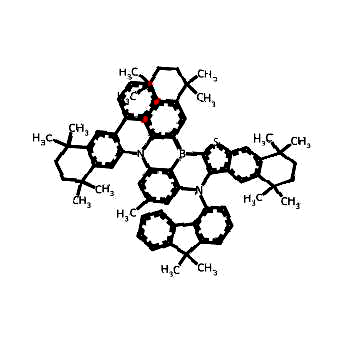 Cc1cc2c3c(c1)N(c1cccc4c1-c1ccccc1C4(C)C)c1c(sc4cc5c(cc14)C(C)(C)CCC5(C)C)B3c1cc3c(cc1N2c1cc2c(cc1-c1ccccc1)C(C)(C)CCC2(C)C)C(C)(C)CCC3(C)C